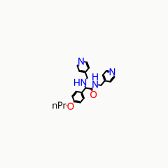 CCCOc1ccc(C(NCc2ccncc2)C(=O)NCc2ccncc2)cc1